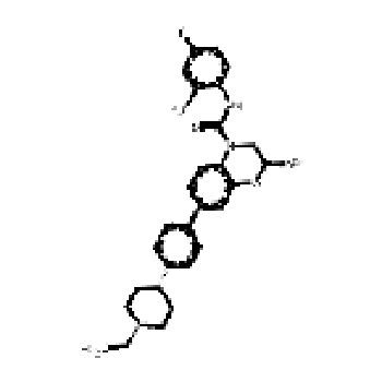 CCCC1CN(C(=O)Nc2ccc(F)cc2C(F)(F)F)c2ccc(-c3ccc([C@H]4CC[C@H](CC(=O)O)CC4)cc3)cc2O1